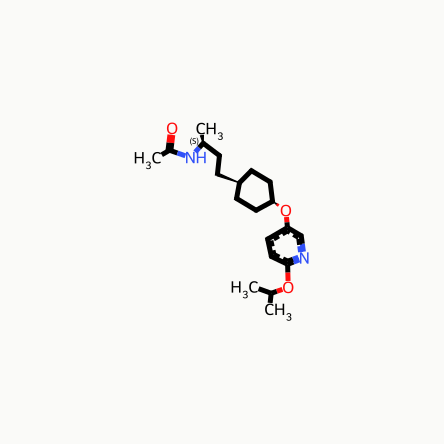 CC(=O)N[C@@H](C)CC[C@H]1CC[C@H](Oc2ccc(OC(C)C)nc2)CC1